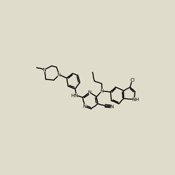 CCCN(c1ccc2[nH]cc(Cl)c2c1)c1nc(Nc2cccc(N3CCN(C)CC3)c2)ncc1C#N